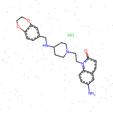 Cl.Nc1ccc2c(ccc(=O)n2CCN2CCC(NCc3ccc4c(c3)OCCO4)CC2)c1